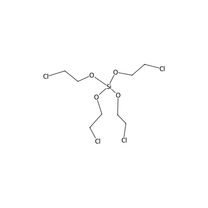 ClCCO[Si](OCCCl)(OCCCl)OCCCl